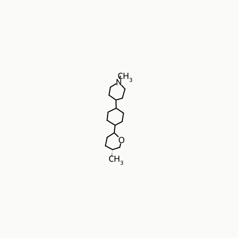 C[C@@H]1CCC(C2CCC(C3CCN(C)CC3)CC2)OC1